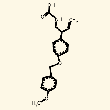 C=CC(CNC(=O)O)c1ccc(OCc2ccc(OC)cc2)cc1